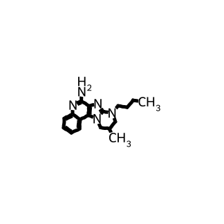 CCCCN1CC(C)Cn2c1nc1c(N)nc3ccccc3c12